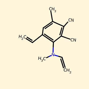 C=Cc1cc(C)c(C#N)c(C#N)c1N(C)C=C